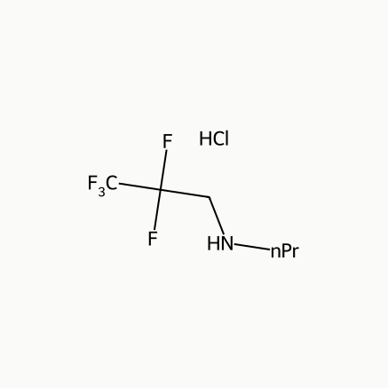 CCCNCC(F)(F)C(F)(F)F.Cl